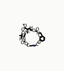 COC(=O)C1C[C@@H]2CN1C(=O)[C@H](C(C)(C)C)NC(=O)OCC/C=C/COc1cccc3c1CN(C3)C(=O)O2